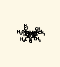 CC(C)(C)CC(C)(C)[P](=O)C(C)(C)CC(C)(C)C